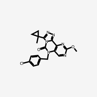 COc1ncc2c(n1)c1nnc(C3(C)CC3)n1c(=O)n2Cc1ccc(Cl)cc1